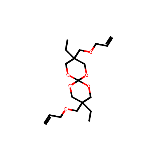 C=CCOCC1(CC)COC2(OC1)OCC(CC)(COCC=C)CO2